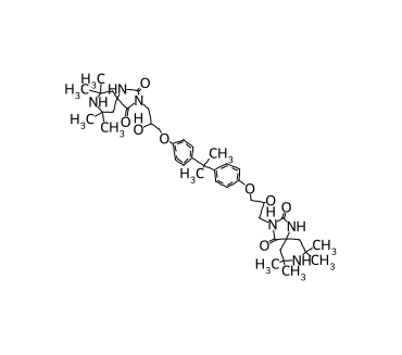 CC1(C)CC2(CC(C)(C)N1)NC(=O)N(CC(O)COc1ccc(C(C)(C)c3ccc(OCC(O)CN4C(=O)NC5(CC(C)(C)NC(C)(C)C5)C4=O)cc3)cc1)C2=O